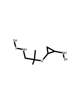 CC(C)NC1CC1OC(C)(C)CNSS